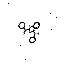 S=C(c1nc(Nc2ccccc2)c2ccccc2n1)C1CCCCC1